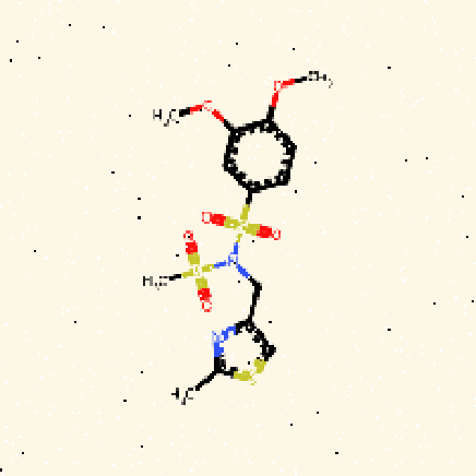 COc1ccc(S(=O)(=O)N(Cc2csc(C)n2)S(C)(=O)=O)cc1OC